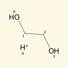 OCCO.[H+]